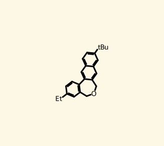 CCc1ccc2c(c1)COCc1cc3cc(C(C)(C)C)ccc3cc1-2